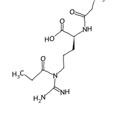 CCC(=O)N[C@@H](CCCN(C(=N)N)C(=O)CC)C(=O)O